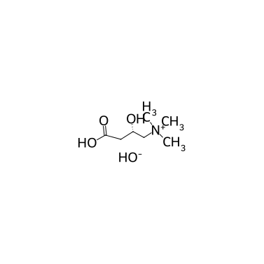 C[N+](C)(C)C[C@@H](O)CC(=O)O.[OH-]